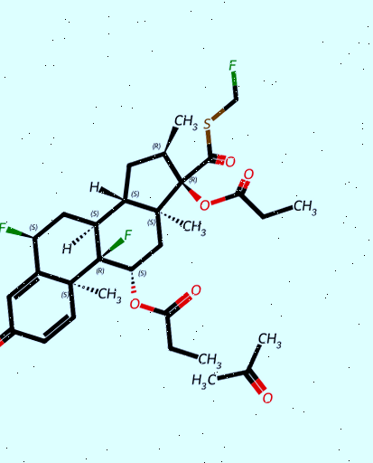 CC(C)=O.CCC(=O)O[C@H]1C[C@@]2(C)[C@@H](C[C@@H](C)[C@]2(OC(=O)CC)C(=O)SCF)[C@@H]2C[C@H](F)C3=CC(=O)C=C[C@]3(C)[C@@]12F